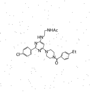 CCc1ccc(C(=O)N2CCN(c3cc(NCCNC(C)=O)nc(-c4ccc(Cl)cc4)n3)CC2)cc1